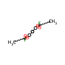 CCCCCCCC[C@@H](F)C(=O)OC1CCC(c2ccc(C3CCC(OC(=O)[C@H](F)CCCCCCCC)CC3)cc2)CC1